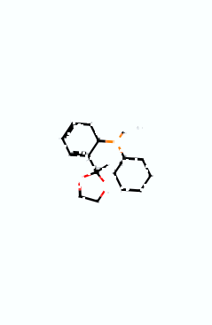 CCCCCCP(C1CCCCC1)C1CC=CC=C1C1(C)OCCO1